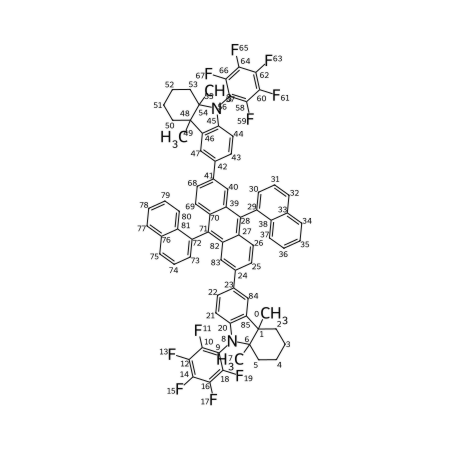 CC12CCCCC1(C)N(c1c(F)c(F)c(F)c(F)c1F)c1ccc(-c3ccc4c(-c5cccc6ccccc56)c5cc(-c6ccc7c(c6)C6(C)CCCCC6(C)N7c6c(F)c(F)c(F)c(F)c6F)ccc5c(-c5cccc6ccccc56)c4c3)cc12